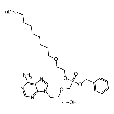 CCCCCCCCCCCCCCCCCCOCCOP(=O)(CO[C@H](CO)Cn1cnc2c(N)ncnc21)OCc1ccccc1